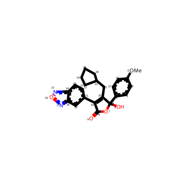 COc1ccc(C2(O)OC(=O)C(c3ccc4nonc4c3)=C2CC2CCCC2)cc1